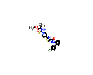 CCC(NC(=S)N1CCC(c2nc(C(=O)Nc3ccccc3-c3ccc(Cl)cc3)cs2)CC1)C(=O)OC